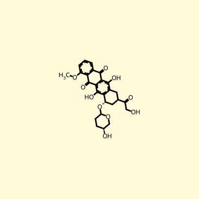 COc1cccc2c1C(=O)c1c(O)c3c(c(O)c1C2=O)CC(C(=O)CO)C[C@@H]3OC1CC[C@H](O)CO1